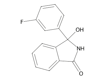 O=C1NC(O)(c2cccc(F)c2)c2ccccc21